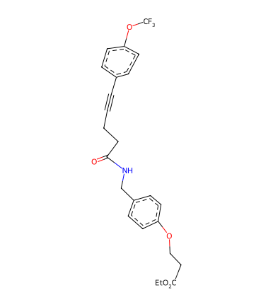 CCOC(=O)CCOc1ccc(CNC(=O)CCC#Cc2ccc(OC(F)(F)F)cc2)cc1